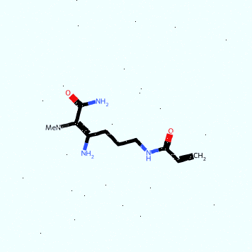 C=CC(=O)NCCCC(N)=C(NC)C(N)=O